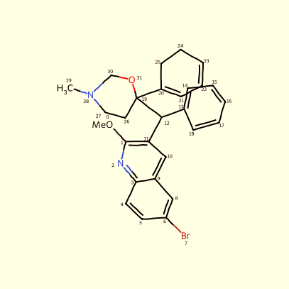 COc1nc2ccc(Br)cc2cc1C(c1ccccc1)C1(C2=CC=CCC2)CCN(C)CO1